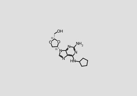 Nc1nc(NC2CCCC2)c2ncn([C@@H]3CO[C@H](CO)O3)c2n1